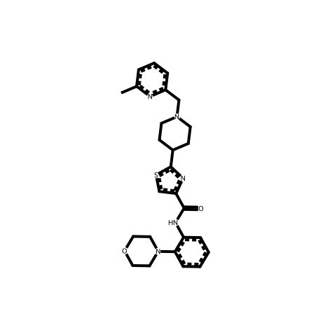 Cc1cccc(CN2CCC(c3nc(C(=O)Nc4ccccc4N4CCOCC4)cs3)CC2)n1